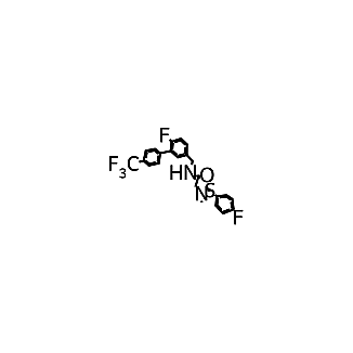 CN(CC(=O)NCc1ccc(F)c(-c2ccc(C(F)(F)F)cc2)c1)Sc1ccc(F)cc1